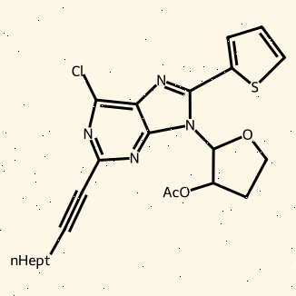 CCCCCCCC#Cc1nc(Cl)c2nc(-c3cccs3)n(C3OCCC3OC(C)=O)c2n1